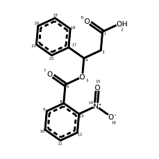 O=C(O)CC(OC(=O)c1ccccc1[N+](=O)[O-])c1ccccc1